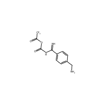 N=C(NC(=O)OC(=O)C(F)(F)F)c1ccc(CN)cc1